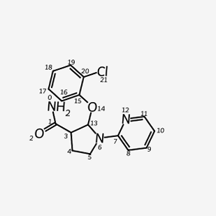 NC(=O)C1CCN(c2ccccn2)C1Oc1ccccc1Cl